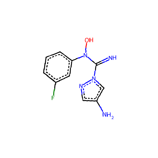 N=C(N(O)c1cccc(F)c1)n1cc(N)cn1